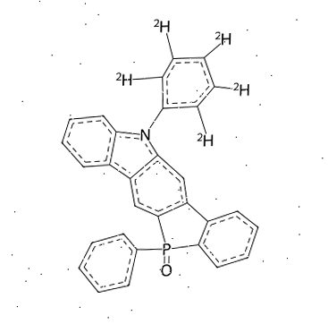 [2H]c1c([2H])c([2H])c(-n2c3ccccc3c3cc4c(cc32)-c2ccccc2P4(=O)c2ccccc2)c([2H])c1[2H]